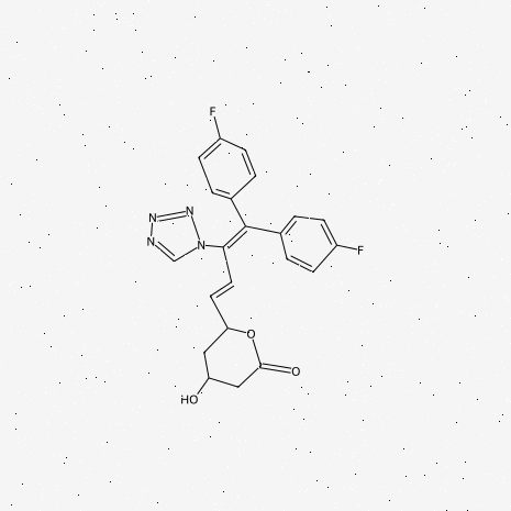 O=C1CC(O)CC(C=CC(=C(c2ccc(F)cc2)c2ccc(F)cc2)n2cnnn2)O1